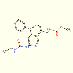 CCNC(=O)Nc1cc2c(-c3ccncc3)ccc(CNC(=O)OC)c2cn1